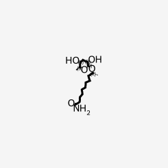 C[C@H](CCCCCCCCC(N)=O)O[C@@H]1O[C@@H](C)[C@H](O)C[C@H]1O